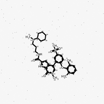 Cc1cccc(C)c1Oc1ccc(S(C)(=O)=O)cc1-c1cn(C)c(=O)c2[nH]c(C(=O)NCCCN(C)C3CCCCC3)cc12